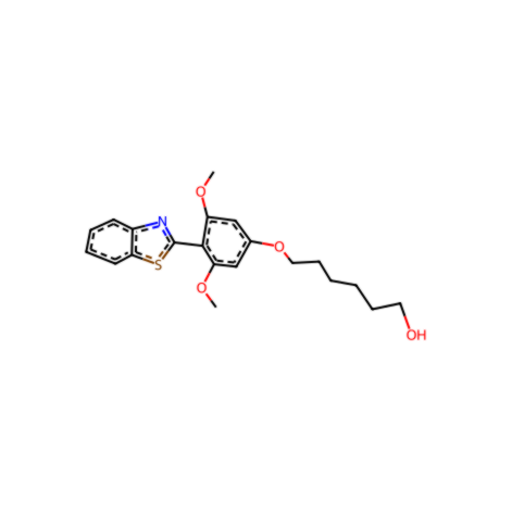 COc1cc(OCCCCCCO)cc(OC)c1-c1nc2ccccc2s1